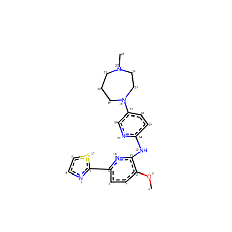 COc1ccc(-c2nccs2)nc1Nc1ccc(N2CCCN(C)CC2)cn1